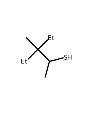 CCC(C)(CC)C(C)S